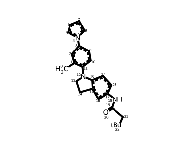 Cc1cc(-n2cccc2)ccc1N1CCc2cc(NC(=O)CC(C)(C)C)ccc21